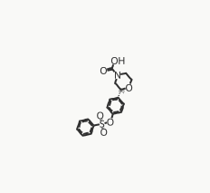 O=C(O)N1CCO[C@H](c2ccc(OS(=O)(=O)c3ccccc3)cc2)C1